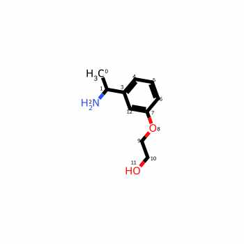 CC(N)c1cccc(OCCO)c1